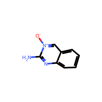 Nc1nc2ccccc2c[n+]1[O-]